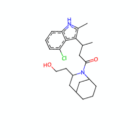 Cc1[nH]c2cccc(Cl)c2c1C(C)CC(=O)N1C(CCO)CC2CCCC1C2